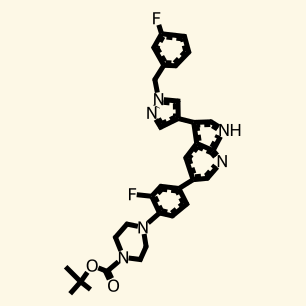 CC(C)(C)OC(=O)N1CCN(c2ccc(-c3cnc4[nH]cc(-c5cnn(Cc6cccc(F)c6)c5)c4c3)cc2F)CC1